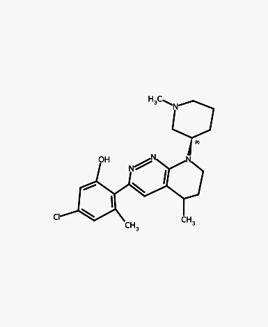 Cc1cc(Cl)cc(O)c1-c1cc2c(nn1)N([C@@H]1CCCN(C)C1)CCC2C